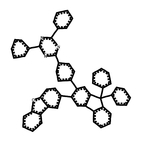 c1ccc(-c2nc(-c3ccccc3)nc(-c3ccc(-c4cc5c(cc4-c4ccc6oc7ccccc7c6c4)-c4ccccc4C5(c4ccccc4)c4ccccc4)cc3)n2)cc1